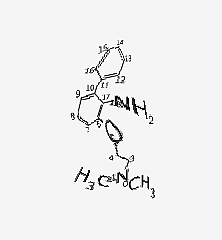 CN(C)CCOc1cccc(-c2ccccc2)c1N